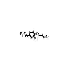 FC(F)(F)Oc1ccc(OCCCBr)c(Cl)c1